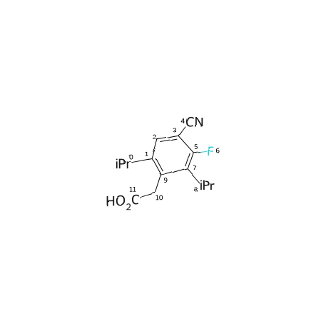 CC(C)c1cc(C#N)c(F)c(C(C)C)c1CC(=O)O